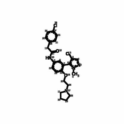 Cn1ncc(Cl)c1-c1cc(NC(=O)Cc2ccc(Cl)cc2)ccc1OCCN1CCCC1